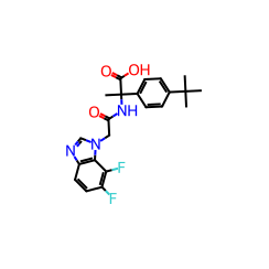 CC(C)(C)c1ccc(C(C)(NC(=O)Cn2cnc3ccc(F)c(F)c32)C(=O)O)cc1